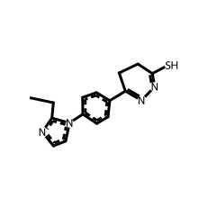 CCc1nccn1-c1ccc(C2=NN=C(S)CC2)cc1